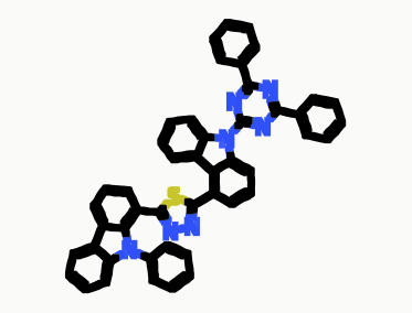 c1ccc(-c2nc(-c3ccccc3)nc(-n3c4ccccc4c4c(-c5nnc(-c6cccc7c8ccccc8n(-c8ccccc8)c67)s5)cccc43)n2)cc1